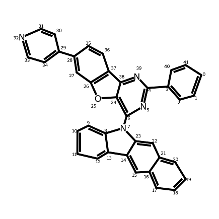 c1ccc(-c2nc(-n3c4ccccc4c4cc5ccccc5cc43)c3oc4cc(-c5ccncc5)ccc4c3n2)cc1